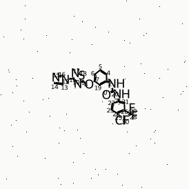 O=C(Nc1cccc(Oc2nc(-n3ccnc3)ns2)c1)Nc1ccc(Cl)c(C(F)(F)F)c1